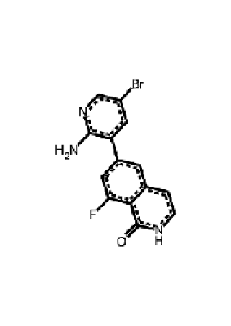 Nc1ncc(Br)cc1-c1cc(F)c2c(=O)[nH]ccc2c1